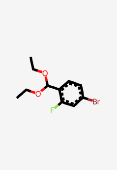 CCOC(OCC)c1ccc(Br)cc1F